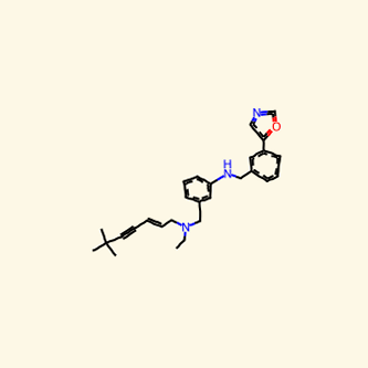 CCN(CC=CC#CC(C)(C)C)Cc1cccc(NCc2cccc(-c3cnco3)c2)c1